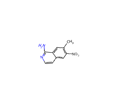 Cc1cc2c(N)nccc2cc1[N+](=O)[O-]